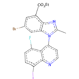 CCOC(=O)c1cc(Br)cc2c1nc(C)n2-c1ccnc2c(I)ccc(F)c12